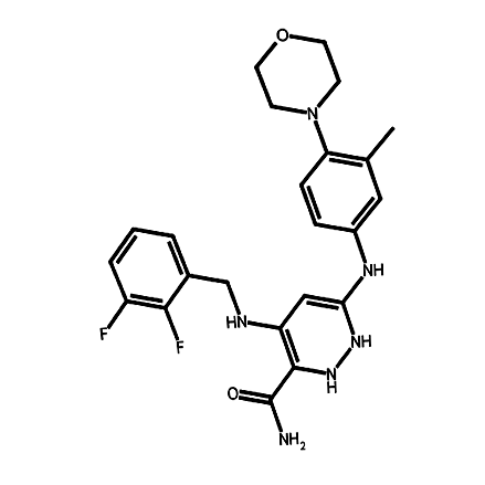 Cc1cc(NC2=CC(NCc3cccc(F)c3F)=C(C(N)=O)NN2)ccc1N1CCOCC1